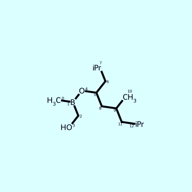 CB(CO)OC(CC(C)C)CC(C)CC(C)C